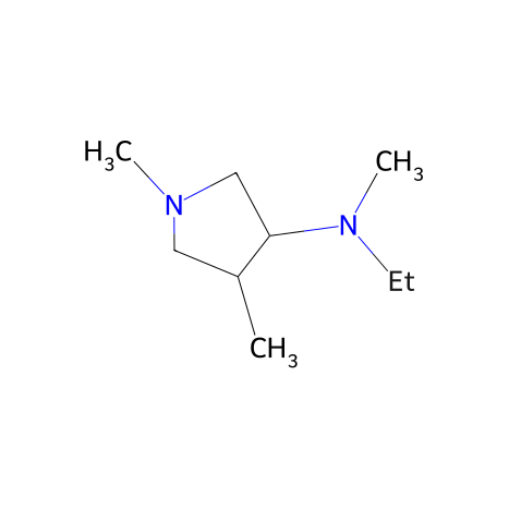 CCN(C)C1CN(C)CC1C